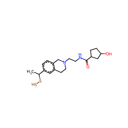 CC(SS)c1ccc2c(c1)CCN(CCNC(=O)C1CCC(O)C1)C2